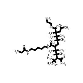 CC(C)CC(C)(C(=O)NCCN)C(C)(C)C(C)(C)CC(C(=O)NCCCCCNC(=O)CN)C(C)(C)C(C)(C)C(C(N)=O)C(C)(C)C